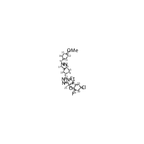 CCn1c(-c2ccc3nn(Cc4ccc(OC)cc4)cc3c2)nnc1C(C)(C)Oc1c(F)cc(Cl)cc1F